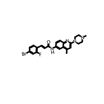 Cc1cc(N2CCN(C)CC2)nc2ccc(NC(=O)C=Cc3ccc(Br)cc3F)cc12